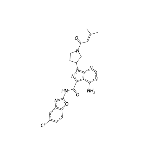 CC(C)=CC(=O)N1CCC(n2nc(C(=O)Nc3nc4cc(Cl)ccc4o3)c3c(N)ncnc32)C1